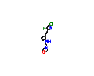 Fc1cc(Cl)ncc1C#Cc1cccc(NCCN2CCOCC2)c1